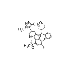 Cc1nnn(C)c1-c1cnc2c3c(S(C)(=O)=O)cc(F)c(F)c3n([C@H](c3ccccc3)C3CCOCC3)c2c1